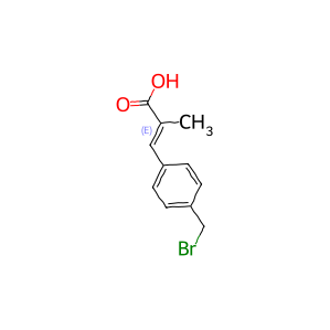 C/C(=C\c1ccc(CBr)cc1)C(=O)O